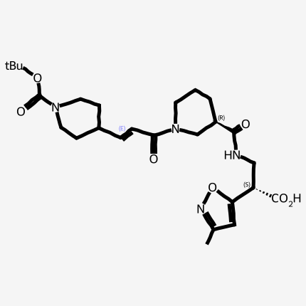 Cc1cc([C@H](CNC(=O)[C@@H]2CCCN(C(=O)/C=C/C3CCN(C(=O)OC(C)(C)C)CC3)C2)C(=O)O)on1